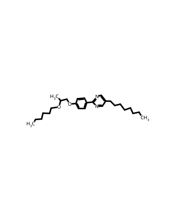 CCCCCCCCc1cnc(-c2ccc(OCC(C)OCCCCCC)cc2)nc1